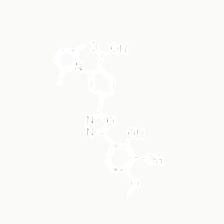 COc1ccc(-c2nnc(-c3ccc(C(=O)O)c(-n4c(C)ccc4C)c3)o2)c(O)c1O